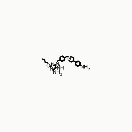 CCCCOc1nc(N)c2c(n1)N(Cc1ccc(CN3CCC(c4ccc(N)cc4)CC3)cc1)CN2